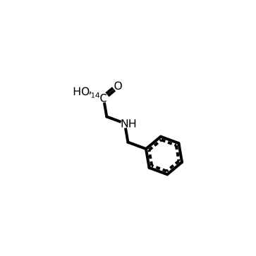 O=[14C](O)CNCc1ccccc1